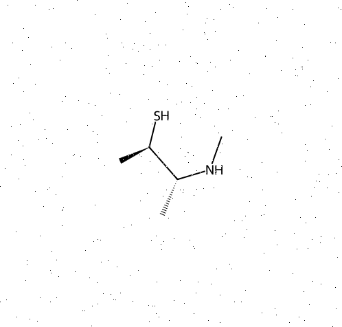 CN[C@H](C)[C@@H](C)S